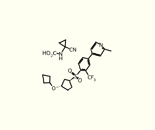 Cc1cc(-c2ccc(S(=O)(=O)[C@H]3CC[C@H](OC4CCC4)C3)c(C(F)(F)F)c2)ccn1.N#CC1(NC(=O)O)CC1